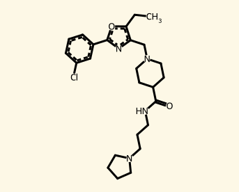 CCc1oc(-c2cccc(Cl)c2)nc1CN1CCC(C(=O)NCCCN2CCCC2)CC1